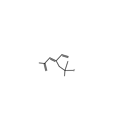 C=C/C(=C/C(=C)C)CC(C)(C)F